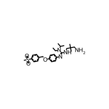 CCN(/C(=N\c1ccc(OCc2ccc(S(C)(=O)=O)cc2)cc1)NCC(C)(C)CN)C(C)C